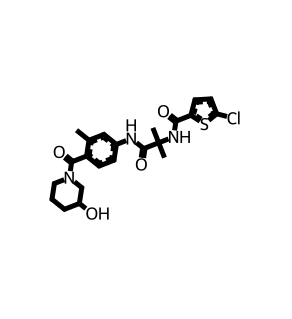 Cc1cc(NC(=O)C(C)(C)NC(=O)c2ccc(Cl)s2)ccc1C(=O)N1CCCC(O)C1